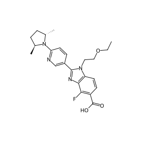 CCOCCn1c(-c2ccc(N3[C@@H](C)CC[C@@H]3C)nc2)nc2c(F)c(C(=O)O)ccc21